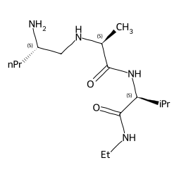 CCC[C@H](N)CN[C@@H](C)C(=O)N[C@H](C(=O)NCC)C(C)C